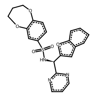 O=S(=O)(N[C@H](c1ncccn1)c1cc2ccccc2o1)c1ccc2c(c1)OCCCO2